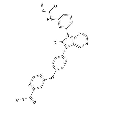 C=CC(=O)Nc1cccc(-n2c(=O)n(-c3ccc(Oc4ccnc(C(=O)NC)c4)cc3)c3cnccc32)c1